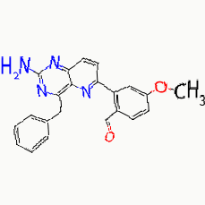 COc1ccc(C=O)c(-c2ccc3nc(N)nc(Cc4ccccc4)c3n2)c1